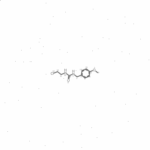 COc1ccc(CNC(=O)NCCCl)cc1